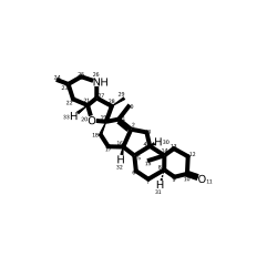 CC1=C2C[C@H]3C(CC[C@@H]4CC(=O)CCC43C)[C@@H]2CC[C@]12O[C@@H]1CC(C)CNC1[C@H]2C